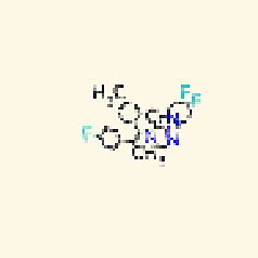 C=C1C(N2CCC(F)(F)CC2)=NC=CN1/C(=C(\C)c1ccc(F)cc1)C1C=CC(C)=CC1